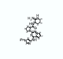 CC(C)n1cnc(Nc2nc(N3CCC[C@H]3C(=O)N[C@@H]3CCCN[C@H]3N)nn3cccc23)c1